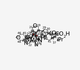 CNC1(CO[C@H]2[C@H](n3ncnc3-c3cncnc3)C[C@@]34COC[C@]2(C)[C@@H]3CC[C@H]2C4=CC[C@]3(C)[C@H](OC(=O)O)[C@@](C)([C@H](C)C(C)C)CC[C@]23C)CCOCC1